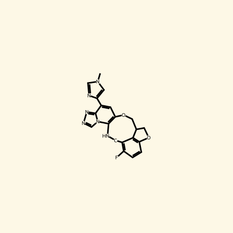 Cn1cnc(-c2cc3c(n4cnnc24)NCc2c(F)ccc4c2C(CO4)CO3)c1